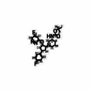 CC(C)(C)OC(=O)N[C@@H]1CCCN(C2CC(c3ccc(F)cc3)CC2Oc2cc(F)cnn2)C1